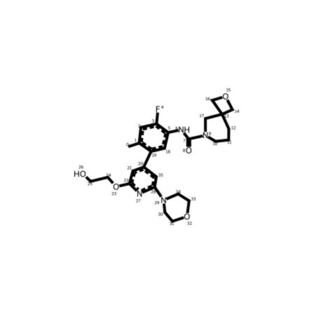 Cc1cc(F)c(NC(=O)N2CCCC3(COC3)C2)cc1-c1cc(OCCO)nc(N2CCOCC2)c1